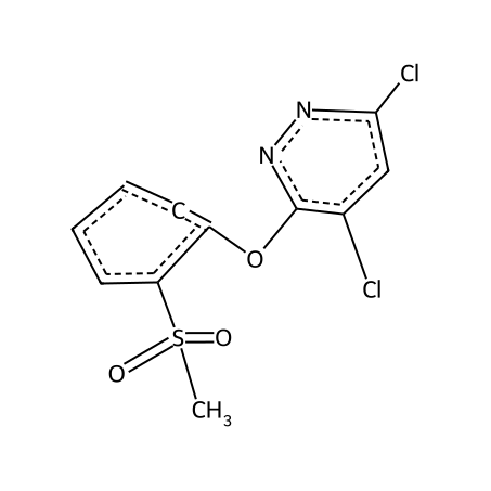 CS(=O)(=O)c1ccccc1Oc1nnc(Cl)cc1Cl